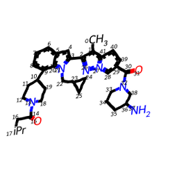 Cc1c(-c2cc3cccc(C4CCN(C(=O)CC(C)C)CC4)c3n2CC2CC2)nn2cc(C(=O)N3CCCC(N)C3)ccc12